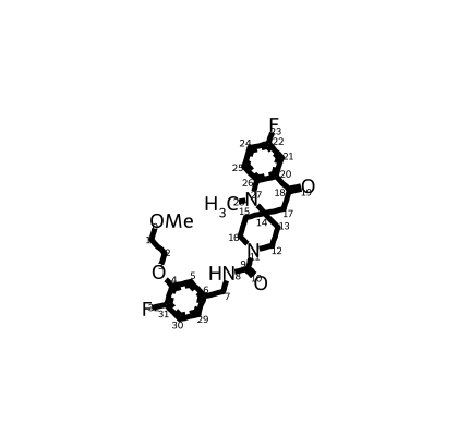 COCCOc1cc(CNC(=O)N2CCC3(CC2)CC(=O)c2cc(F)ccc2N3C)ccc1F